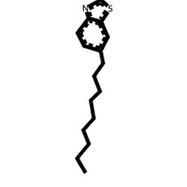 CCCCCCCCCc1ccc2ncsc2c1